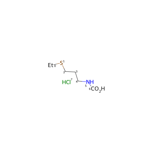 CCSCCCNC(=O)O.Cl